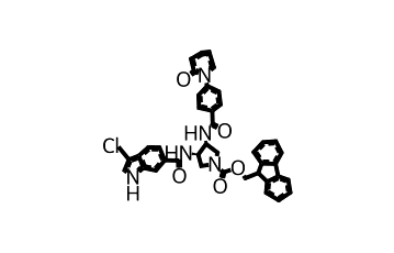 O=C(N[C@H]1CN(C(=O)OCC2c3ccccc3-c3ccccc32)C[C@H]1NC(=O)c1ccc2c(Cl)c[nH]c2c1)c1ccc(-n2ccccc2=O)cc1